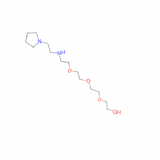 OCCOCCOCCOCCNCCN1CCCC1